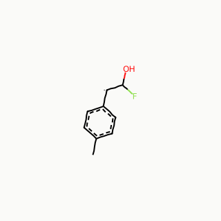 Cc1ccc([CH]C(O)F)cc1